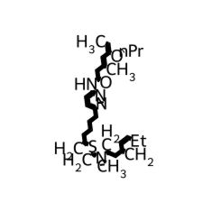 C=C(/C=C\CC)CC(=C)N(C)C(=C)SC(=C)CCCCc1ccc(NC(=O)C/C(C)=C/C(=C\C)OCCC)nn1